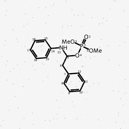 COP(=O)(OC)OC(Cc1ccccc1)Nc1ccccc1